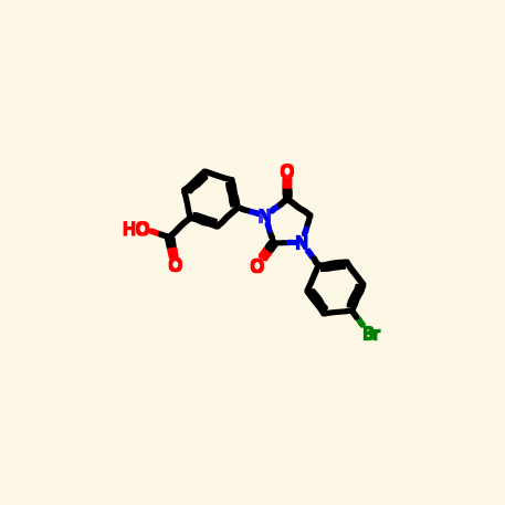 O=C(O)c1cccc(N2C(=O)CN(c3ccc(Br)cc3)C2=O)c1